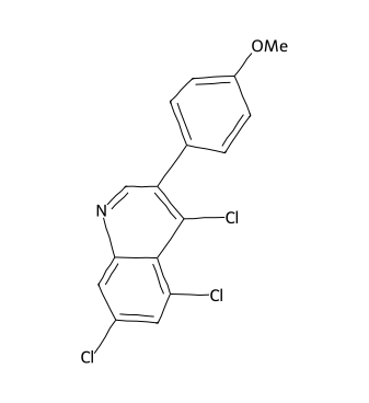 COc1ccc(-c2cnc3cc(Cl)cc(Cl)c3c2Cl)cc1